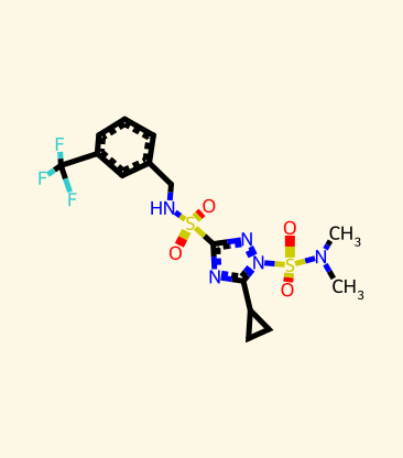 CN(C)S(=O)(=O)n1nc(S(=O)(=O)NCc2cccc(C(F)(F)F)c2)nc1C1CC1